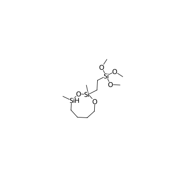 CO[Si](CC[Si]1(C)OCCCC[SiH](C)O1)(OC)OC